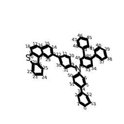 c1ccc(-c2ccc(N(c3ccc(-c4ccc5ccc6sc7ccccc7c6c5c4)cc3)c3ccc(-c4ccccc4)c(-c4ccccc4)c3)cc2)cc1